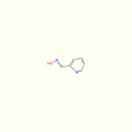 O/N=C/c1ccccn1